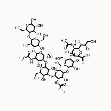 CC(=O)N[C@H]1[C@H](O[C@H]2[C@@H](O)[C@@H](CO)O[C@@H](O[C@H]3[C@H](O)[C@@H](O)[C@H](O)O[C@@H]3CO)[C@@H]2O)O[C@H](CO)[C@@H](O[C@@H]2O[C@H](CO)[C@H](O)[C@H](O[C@H]3O[C@H](CO)[C@@H](O[C@@H]4O[C@H](CO)[C@H](O)[C@H](O[C@]5(C(=O)O)C[C@H](O)[C@@H](NC(C)=O)[C@H]([C@H](O)[C@H](O)CO)O5)[C@H]4O)[C@H](O)[C@H]3NC(C)=O)[C@H]2O)[C@@H]1O